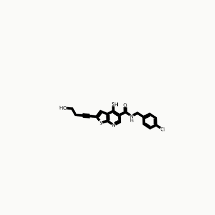 O=C(NCc1ccc(Cl)cc1)c1cnc2sc(C#CCCO)cc2c1S